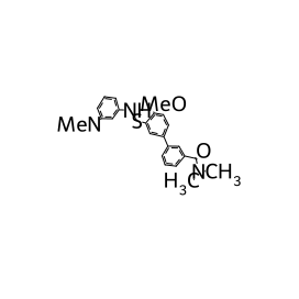 CNc1cccc(NSc2cc(-c3cccc(C(=O)N(C)C)c3)ccc2OC)c1